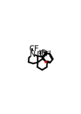 CCCC1(c2ccccc2)N(C(F)(F)F)CCCC12CCCCC2O